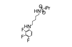 CC(C)S(=O)(=O)NCCCCCNc1ccc(F)c(F)c1F